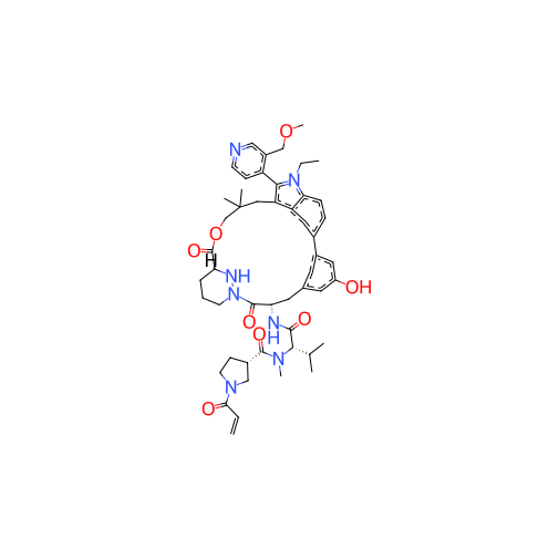 C=CC(=O)N1CC[C@H](C(=O)N(C)[C@H](C(=O)N[C@H]2Cc3cc(O)cc(c3)-c3ccc4c(c3)c(c(-c3ccncc3COC)n4CC)CC(C)(C)COC(=O)[C@@H]3CCCN(N3)C2=O)C(C)C)C1